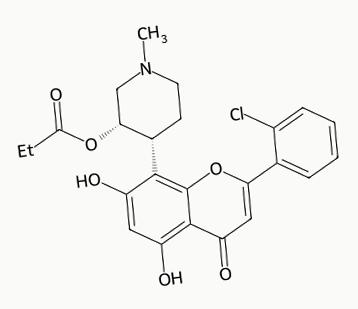 CCC(=O)O[C@@H]1CN(C)CC[C@@H]1c1c(O)cc(O)c2c(=O)cc(-c3ccccc3Cl)oc12